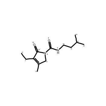 CCC1=C(C)CN(C(=O)NCCC(C)C)C1=O